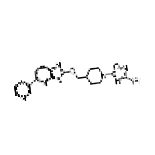 CC(C)c1noc(N2CCC(COc3nc4ccc(-c5cccnc5)nc4s3)CC2)n1